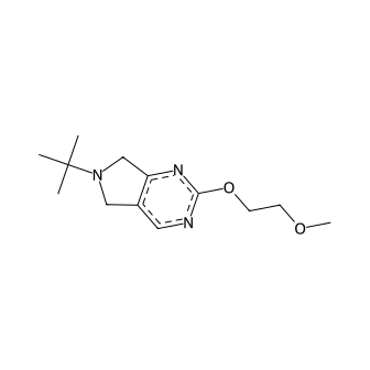 COCCOc1ncc2c(n1)CN(C(C)(C)C)C2